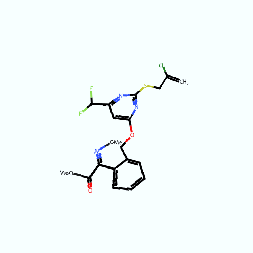 C=C(Cl)CSc1nc(OCc2ccccc2/C(=N\OC)C(=O)OC)cc(C(F)F)n1